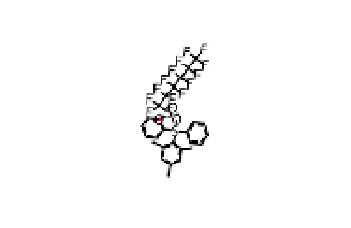 Cc1cc(C)c(S(OS(=O)(=O)C(F)(F)C(F)(F)C(F)(F)C(F)(F)C(F)(F)C(F)(F)F)(c2ccccc2)c2ccccc2)c(C)c1